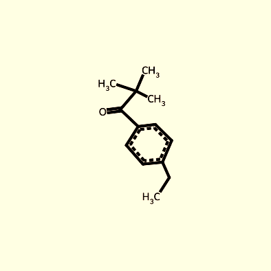 CCc1ccc(C(=O)C(C)(C)C)cc1